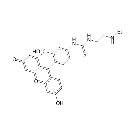 CCNCCNC(=S)Nc1ccc(-c2c3ccc(=O)cc-3oc3cc(O)ccc23)c(C(=O)O)c1